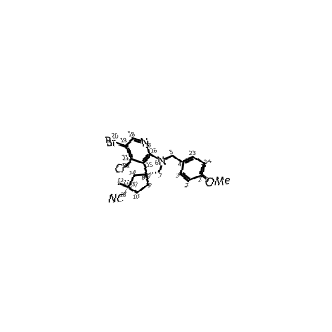 COc1ccc(CN2C[C@@]3(CC[C@](C)(C#N)C3)c3c2ncc(Br)c3Cl)cc1